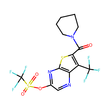 O=C(c1sc2nc(OS(=O)(=O)C(F)(F)F)cnc2c1C(F)(F)F)N1CCCCC1